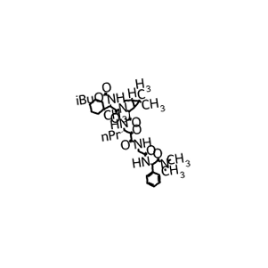 CCC[C@H](NC(=O)[C@@H]1C2[C@H](CN1C(=O)[C@@H](NC(=O)OCC(C)C)C1(C)CCCCC1)C2(C)C)C(=O)C(=O)NCC(=O)N[C@H](C(=O)N(C)C)c1ccccc1